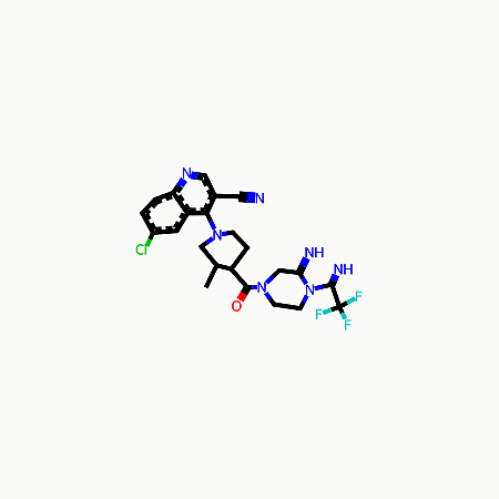 CC1CN(c2c(C#N)cnc3ccc(Cl)cc23)CCC1C(=O)N1CCN(C(=N)C(F)(F)F)C(=N)C1